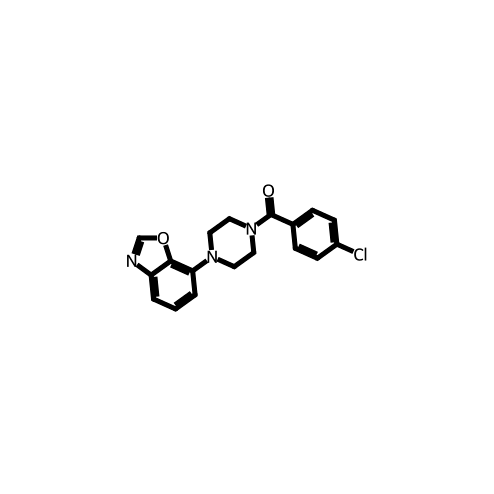 O=C(c1ccc(Cl)cc1)N1CCN(c2cccc3ncoc23)CC1